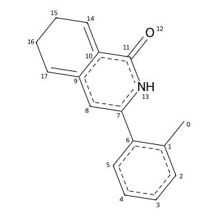 Cc1ccccc1-c1cc2c(c(=O)[nH]1)=CCCC=2